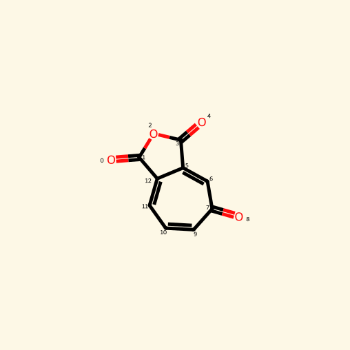 O=C1OC(=O)c2cc(=O)cccc21